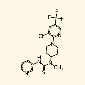 CN(C(=S)Nc1cccnc1)C1CCN(c2ncc(C(F)(F)F)cc2Cl)CC1